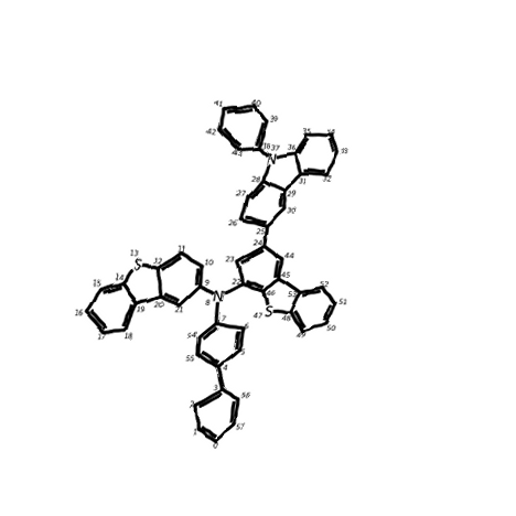 c1ccc(-c2ccc(N(c3ccc4sc5ccccc5c4c3)c3cc(-c4ccc5c(c4)c4ccccc4n5-c4ccccc4)cc4c3sc3ccccc34)cc2)cc1